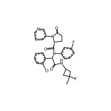 O=C(NC1CC(F)(F)C1)C(c1ccccc1Cl)N(C(=O)[C@@H]1CCC(=O)N1c1cccnc1)c1cccc(F)c1